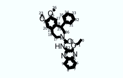 CCOc1nc2ccccc2nc1NC(=O)N1CCc2cc(OC)c(OC)cc2C(c2ccccc2)C1